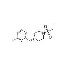 CCS(=O)(=O)N1CCC(=Cc2cccc(C)n2)CC1